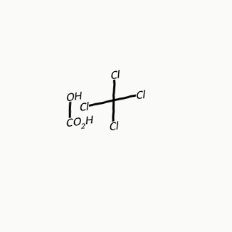 ClC(Cl)(Cl)Cl.O=C(O)O